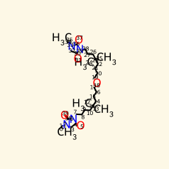 CCN1CC(=O)N(CCCCC(C)(C)CCCCOCCCCC(C)(C)CCCN2C(=O)CN(CC)C2=O)C1=O